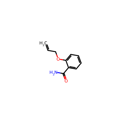 C=CCOc1ccccc1C(N)=O